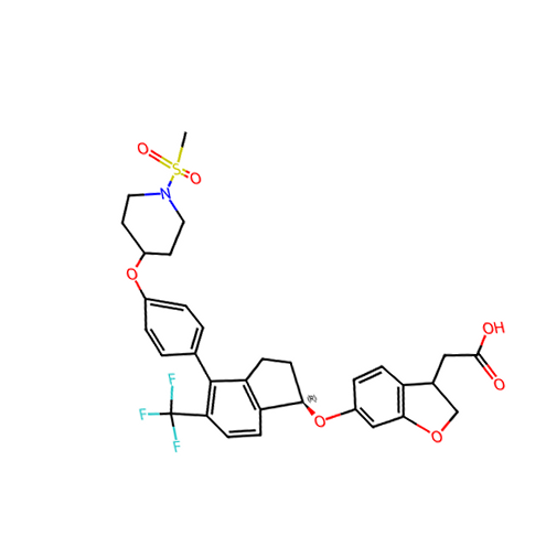 CS(=O)(=O)N1CCC(Oc2ccc(-c3c(C(F)(F)F)ccc4c3CC[C@H]4Oc3ccc4c(c3)OCC4CC(=O)O)cc2)CC1